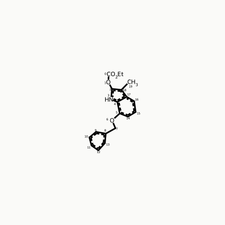 CCOC(=O)Oc1[nH]c2c(OCc3ccccc3)cccc2c1C